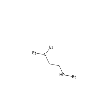 CCPCCN(CC)CC